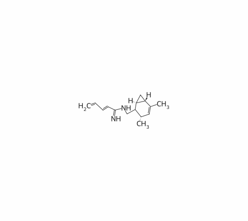 C=CC=CC(=N)NCC1[C@H]2C[C@@H]2C(C)=C[C@@H]1C